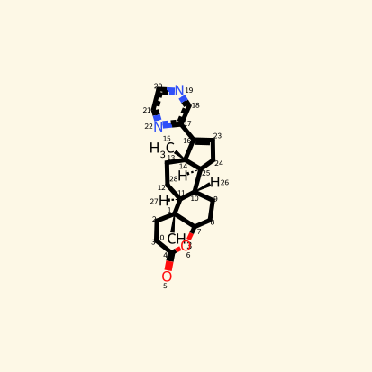 C[C@]12CCC(=O)OC1CC[C@@H]1[C@@H]2CC[C@]2(C)C(c3cnccn3)=CC[C@@H]12